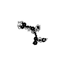 C[N+]1(C)CCC(OC(=O)Nc2cc(CCCC(=O)Nc3ccc(CNC[C@H](O)c4ccc(O)c5[nH]c(=O)ccc45)cc3F)ccc2-c2ccccc2)CC1.O=C([O-])C(F)(F)F